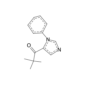 CC(C)(C)C(=O)c1cncn1-c1ccccc1